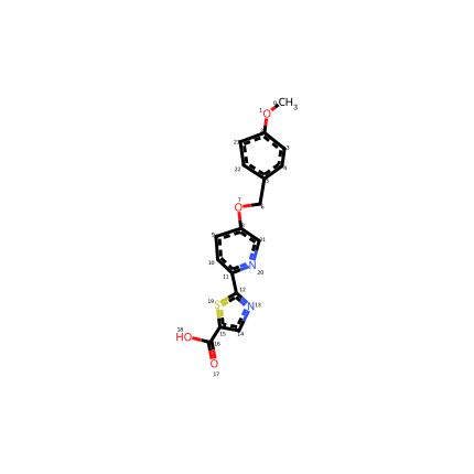 COc1ccc(COc2ccc(-c3ncc(C(=O)O)s3)nc2)cc1